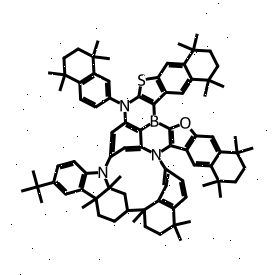 CC(C)(C)c1ccc2c(c1)C1(C)CCC3CC1(C)N2c1cc2c4c(c1)N(c1ccc5c(c1)C3(C)CCC5(C)C)c1c(oc3cc5c(cc13)C(C)(C)CCC5(C)C)B4c1c(sc3cc4c(cc13)C(C)(C)CCC4(C)C)N2c1ccc2c(c1)C(C)(C)CCC2(C)C